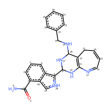 NC(=O)c1cccc2c(C3NC4=C(CC=CC=N4)C(NCc4ccccc4)N3)[nH]cc12